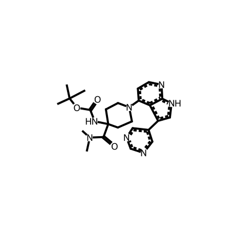 CN(C)C(=O)C1(NC(=O)OC(C)(C)C)CCN(c2ccnc3[nH]cc(-c4cncnc4)c23)CC1